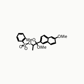 COc1ccc2cc(C(OC)(OC)C(C)OS(=O)(=O)c3ccccc3)ccc2c1